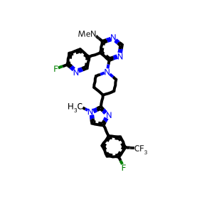 CNc1ncnc(N2CCC(c3nc(-c4ccc(F)c(C(F)(F)F)c4)cn3C)CC2)c1-c1ccc(F)nc1